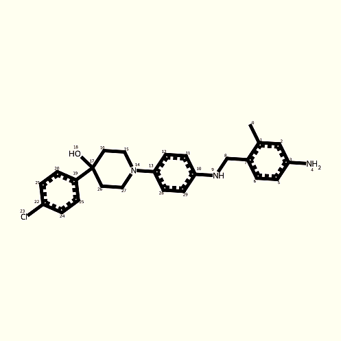 Cc1cc(N)ccc1CNc1ccc(N2CCC(O)(c3ccc(Cl)cc3)CC2)cc1